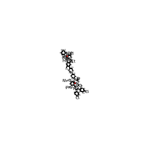 CCOc1cc(C2CCN(C3CCC(N4CCN(C(=O)N5C(c6ccc(OC)cc6OC(C)C)=N[C@@H](c6ccc(Cl)cc6)[C@H]5c5ccc(Cl)cc5)CC4=O)CC3)CC2)c(C)cc1Nc1ncc(Cl)c(Nc2ccccc2S(=O)(=O)C(C)C)n1